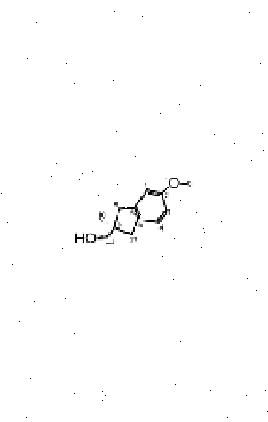 COc1ccc2c(c1)C[C@](C)(CO)C2